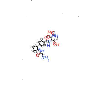 C[C@@H](O)[C@H](NC(=O)c1ccc(-c2ccccc2NC(=O)CN)cc1)C(=O)NO